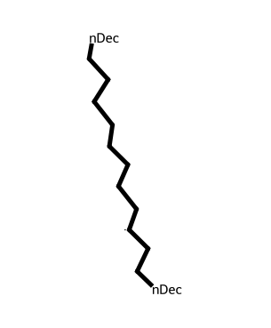 CCCCCCCCCCCC[CH]CCCCCCCCCCCCCCCCCC